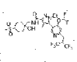 CCn1nc(C(=O)NCC2(O)CCC(S(C)(=O)=O)CC2)c(C)c1-c1cnc(CC(C(F)(F)F)C(F)(F)F)cc1OC(F)F